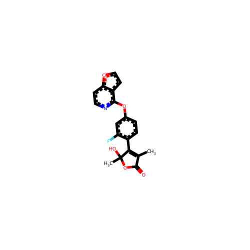 CC1=C(c2ccc(Oc3nccc4occc34)cc2F)C(C)(O)OC1=O